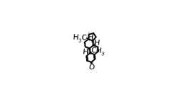 C[C@@]12[CH]CC[C@H]1[C@@H]1CCC3=CC(=O)C=C[C@]3(C)[C@H]1CC2